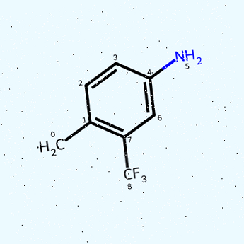 [CH2]c1ccc(N)cc1C(F)(F)F